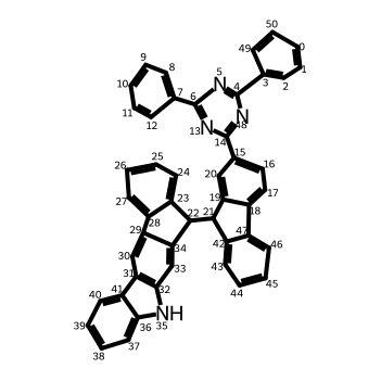 c1ccc(-c2nc(-c3ccccc3)nc(-c3ccc4c(c3)C(C3c5ccccc5-c5cc6c(cc53)[nH]c3ccccc36)c3ccccc3-4)n2)cc1